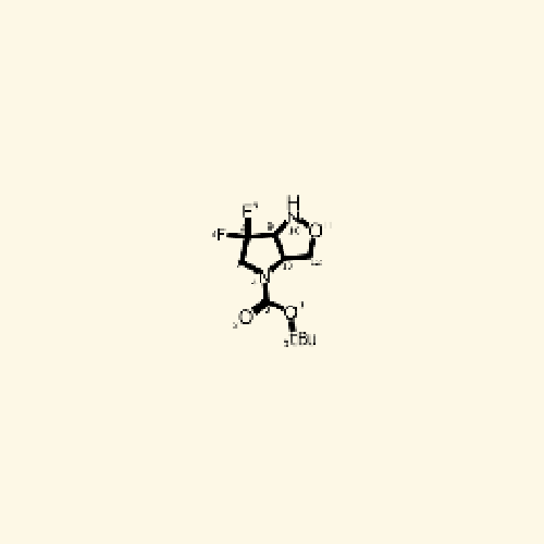 CC(C)(C)OC(=O)N1CC(F)(F)C2NOCC21